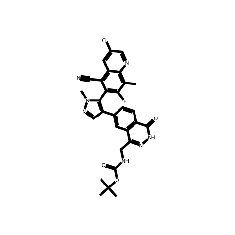 Cc1c(F)c(-c2c(-c3ccc4c(=O)[nH]nc(CNC(=O)OC(C)(C)C)c4c3)cnn2C)c(C#N)c2cc(Cl)cnc12